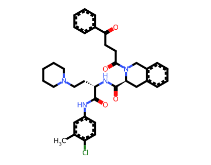 Cc1cc(NC(=O)[C@H](CCN2CCCCC2)NC(=O)[C@@H]2Cc3ccccc3CN2C(=O)CCC(=O)c2ccccc2)ccc1Cl